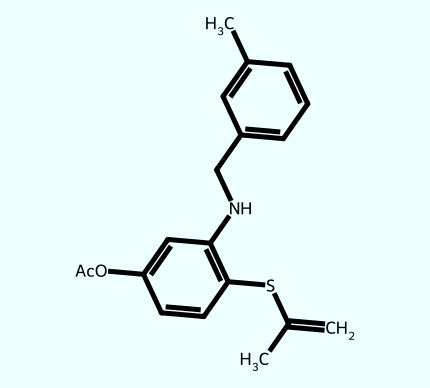 C=C(C)Sc1ccc(OC(C)=O)cc1NCc1cccc(C)c1